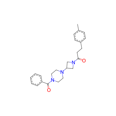 Cc1ccc(CCC(=O)N2CC(N3CCN(C(=O)c4ccccc4)CC3)C2)cc1